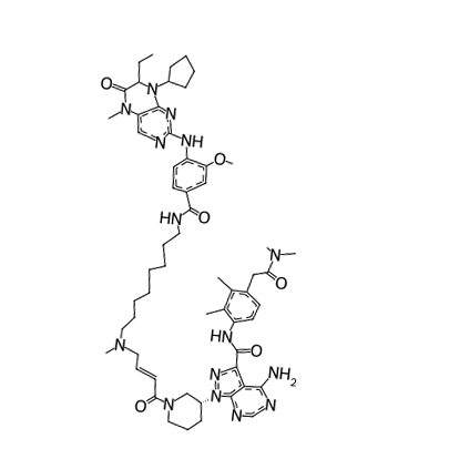 CCC1C(=O)N(C)c2cnc(Nc3ccc(C(=O)NCCCCCCCCN(C)C/C=C/C(=O)N4CCC[C@@H](n5nc(C(=O)Nc6ccc(CC(=O)N(C)C)c(C)c6C)c6c(N)ncnc65)C4)cc3OC)nc2N1C1CCCC1